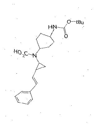 CC(C)(C)OC(=O)NC1CCC(N(C(=O)O)C2CC2/C=C/c2ccccc2)CC1